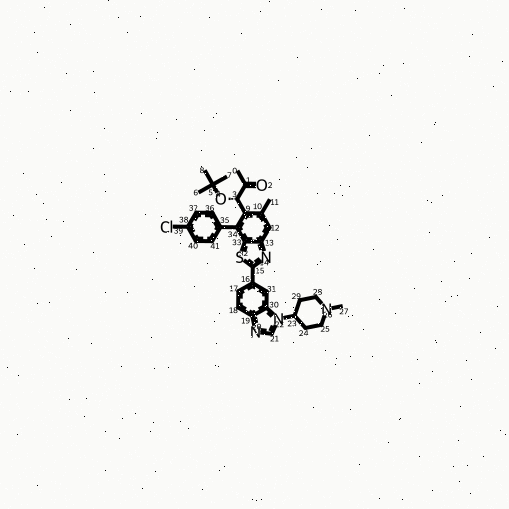 CC(=O)[C@@H](OC(C)(C)C)c1c(C)cc2nc(-c3ccc4ncn(C5CCN(C)CC5)c4c3)sc2c1-c1ccc(Cl)cc1